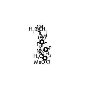 COc1cc(C(C)(C)c2cnc(SCc3c(F)cc(S(=O)(=O)NCCC[N+](C)(C)C)cc3F)n2-c2ccc(F)cc2)ccc1Cl